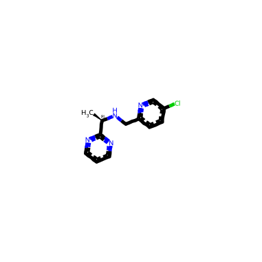 C[C@@H](NCc1ccc(Cl)cn1)c1ncccn1